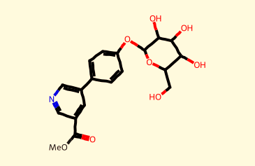 COC(=O)c1cncc(-c2ccc(OC3OC(CO)C(O)C(O)C3O)cc2)c1